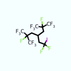 FC(F)(I)CC(CC(F)(C(F)(F)F)C(F)(F)F)CC(F)(C(F)(F)F)C(F)(F)F